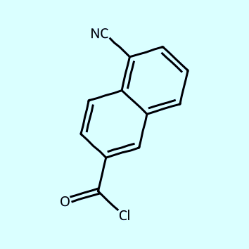 N#Cc1cccc2cc(C(=O)Cl)ccc12